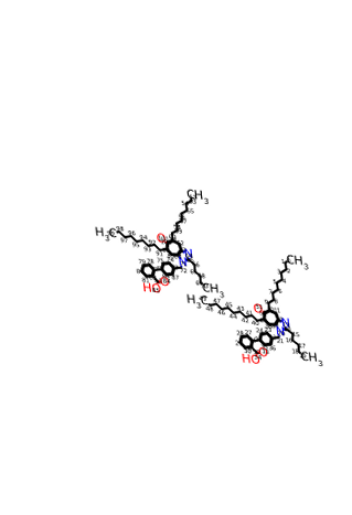 CCCCCCCCCCc1cc2nc(CCCCC)n(Cc3ccc(-c4ccccc4C(=O)O)cc3)c2cc(CCCCCCCCCC)c1=O.CCCCCCCCCc1cc2nc(CCCCC)n(Cc3ccc(-c4ccccc4C(=O)O)cc3)c2cc(CCCCCCCCC)c1=O